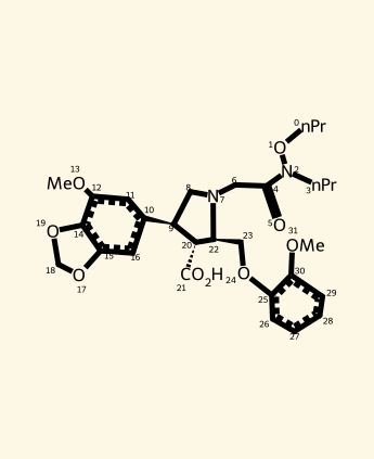 CCCON(CCC)C(=O)CN1C[C@H](c2cc(OC)c3c(c2)OCO3)[C@@H](C(=O)O)[C@@H]1COc1ccccc1OC